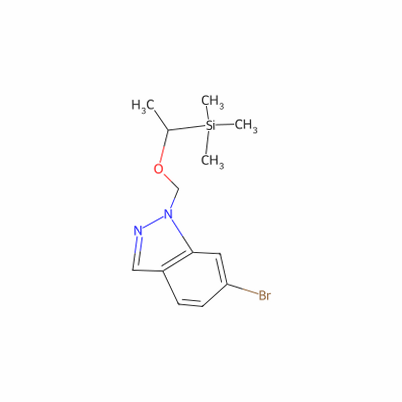 CC(OCn1ncc2ccc(Br)cc21)[Si](C)(C)C